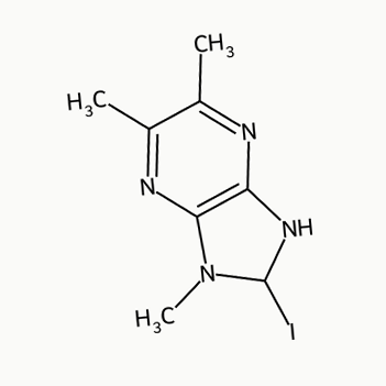 Cc1nc2c(nc1C)N(C)C(I)N2